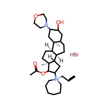 Br.C=CC[N+]1(C2C[C@H]3[C@@H]4CCC5CC(O)C(N6CCOCC6)C[C@]5(C)[C@@H]4CC[C@]3(C)C2OC(C)=O)CCCCCC1